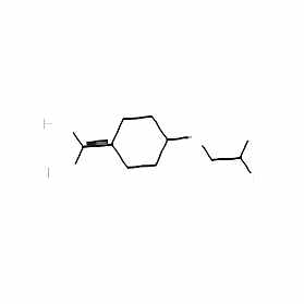 CC(C)=C1CCC(OCC(F)F)CC1